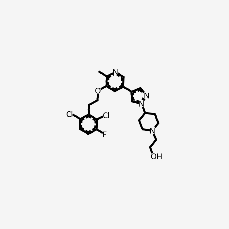 Cc1ncc(-c2cnn(C3CCN(CCO)CC3)c2)cc1OCCc1c(Cl)ccc(F)c1Cl